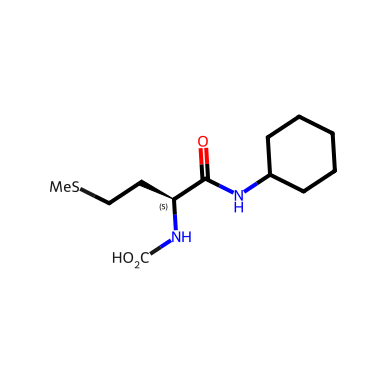 CSCC[C@H](NC(=O)O)C(=O)NC1CCCCC1